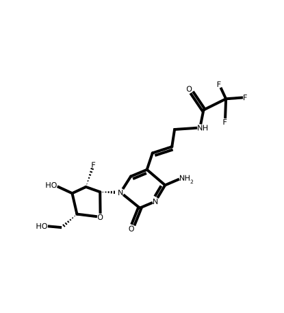 Nc1nc(=O)n([C@@H]2O[C@H](CO)C(O)[C@@H]2F)cc1/C=C/CNC(=O)C(F)(F)F